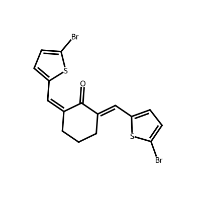 O=C1C(=Cc2ccc(Br)s2)CCCC1=Cc1ccc(Br)s1